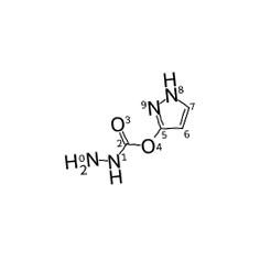 NNC(=O)Oc1cc[nH]n1